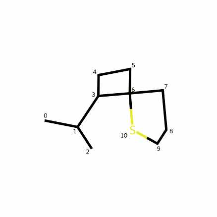 CC(C)C1CCC12CCCS2